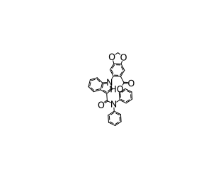 O=C(O)c1cc2c(cc1-n1cc(C(=O)N(c3ccccc3)c3ccccc3)c3ccccc31)OCO2